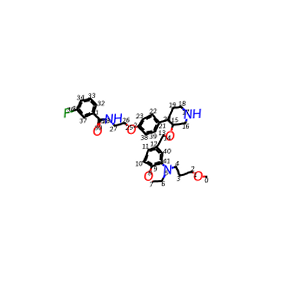 COCCCN1CCOc2ccc(COC3CNCCC3c3ccc(OCCNC(=O)c4cccc(F)c4)cc3)cc21